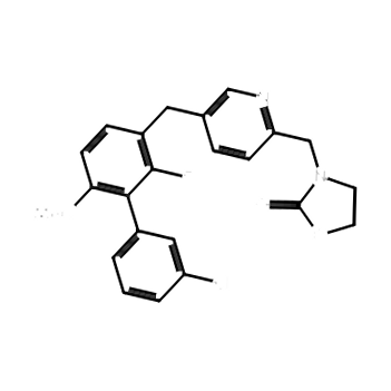 COc1ccc(Cc2ccc(CN3CCOC3=O)nc2)c(F)c1-c1cccc(Cl)c1